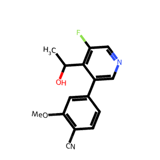 COc1cc(-c2cncc(F)c2C(C)O)ccc1C#N